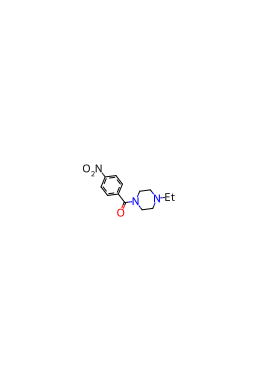 CCN1CCN(C(=O)c2ccc([N+](=O)[O-])cc2)CC1